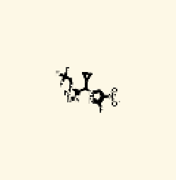 O=[N+]([O-])c1cn(C(c2nnnn2CC(F)(F)F)C2CC2)nc1F